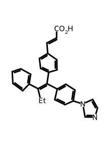 CC/C(=C(/c1ccc(/C=C/C(=O)O)cc1)c1ccc(-n2ccnc2)cc1)c1ccccc1